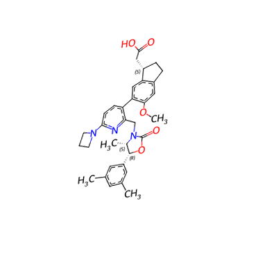 COc1cc2c(cc1-c1ccc(N3CCC3)nc1CN1C(=O)O[C@H](c3cc(C)cc(C)c3)[C@@H]1C)[C@H](CC(=O)O)CC2